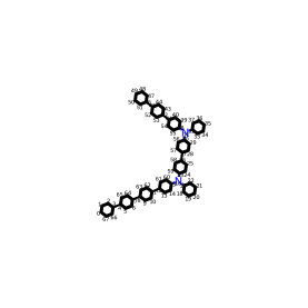 c1ccc(-c2ccc(-c3ccc(-c4ccc(N(c5ccccc5)c5ccc(-c6ccc(N(c7ccccc7)c7ccc(-c8ccc(-c9ccccc9)cc8)cc7)cc6)cc5)cc4)cc3)cc2)cc1